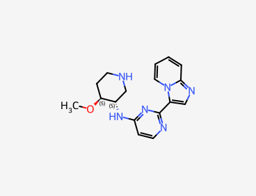 CO[C@H]1CCNC[C@@H]1Nc1ccnc(-c2cnc3ccccn23)n1